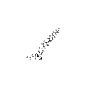 CCCCOC(=O)C1=CCC(c2ccc(-c3ccc([C@H]4CC[C@H](CCC)CC4)cc3)cc2)CC1